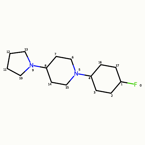 FC1CCC(N2CCC(N3CCCC3)CC2)CC1